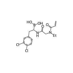 C=CC(=O)N(CC)CC(=O)NC(Cc1ccc(Cl)c(Cl)c1)B(O)O